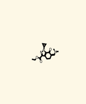 CCOC(=O)c1nn(C2CC2)c2c1CC/C(=C/N(C)C)C2=O